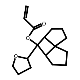 C=CC(=O)OC1(C2CCCO2)C2CCCC23CCCC31